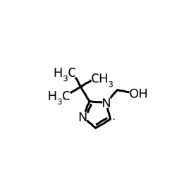 CC(C)(C)c1nc[c]n1CO